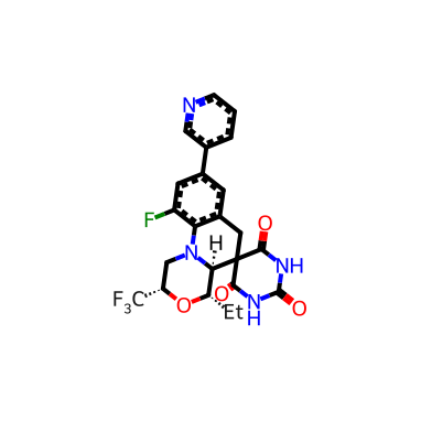 CC[C@@H]1O[C@H](C(F)(F)F)CN2c3c(F)cc(-c4cccnc4)cc3CC3(C(=O)NC(=O)NC3=O)[C@@H]12